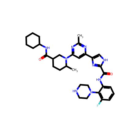 Cc1nc(-c2c[nH]c(C(=O)Nc3cccc(F)c3N3CCNCC3)n2)cc(N2CC(C(=O)NC3CCCCC3)CCC2C)n1